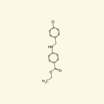 CCOC(=O)c1ccc(NCc2ccc(Cl)cc2)cc1